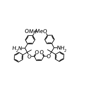 COc1ccc(C(N)C(C)(OC(=O)/C=C\C(=O)OC(C)(c2ccccc2)C(N)c2ccc(OC)cc2)c2ccccc2)cc1